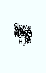 COc1cn(C(Cc2ccccc2)C(=O)Nc2ccc(C(N)=O)c(F)c2)c(=O)cc1-c1cc(Cl)ccc1-n1cc(C(F)(F)F)nn1